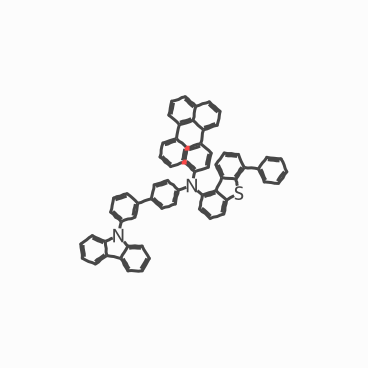 c1ccc(-c2cccc3c2sc2cccc(N(c4ccc(-c5cccc(-n6c7ccccc7c7ccccc76)c5)cc4)c4ccc(-c5cccc6cccc(-c7ccccc7)c56)cc4)c23)cc1